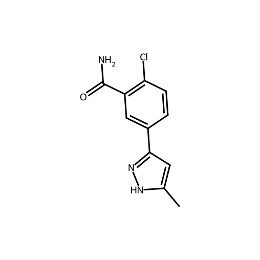 Cc1cc(-c2ccc(Cl)c(C(N)=O)c2)n[nH]1